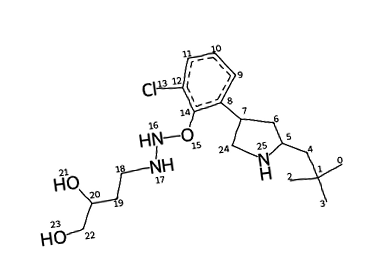 CC(C)(C)CC1CC(c2cccc(Cl)c2ONNCCC(O)CO)CN1